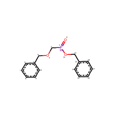 O=[PH](COCc1ccccc1)OCc1ccccc1